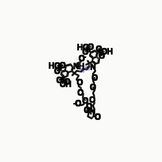 COCCNc1ccc2c(S(=O)(=O)O)cc(S(=O)(=O)O)cc2c1C(C)(C/C=C/C=C1/N(CCOCCOCCCOCC(=O)CN2C(=O)CCC2=O)c2ccc3c(S(=O)(=O)O)cc(S(=O)(=O)O)cc3c2C1(C)C)CCOCCOCCOCCOC